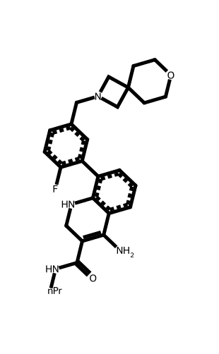 CCCNC(=O)C1=C(N)c2cccc(-c3cc(CN4CC5(CCOCC5)C4)ccc3F)c2NC1